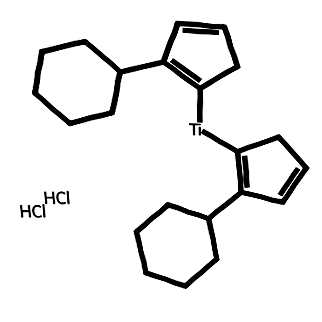 C1=CC(C2CCCCC2)=[C]([Ti][C]2=C(C3CCCCC3)C=CC2)C1.Cl.Cl